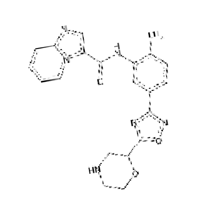 Cc1ccc(-c2noc(C3CNCCO3)n2)cc1NC(=O)c1cnc2ccccn12